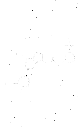 Cc1cc(-c2cc(C(F)(F)F)n3ncc(OC(=O)Nc4cccc(S(N)(=O)=O)c4)c3n2)ccc1Cl